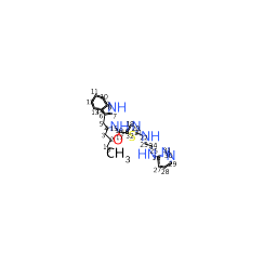 CCCCC(Cc1c[nH]c2ccccc12)NC(=O)c1cnc(NCCNc2cccnn2)s1